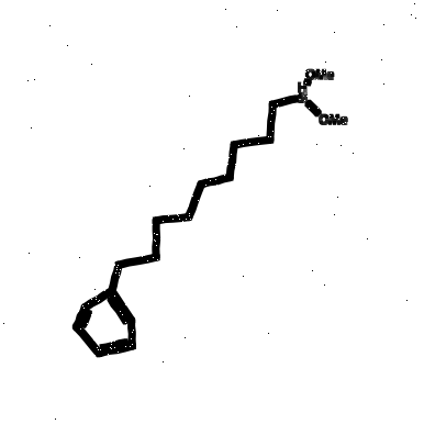 CO[SiH](CCCCCCCCCc1ccccc1)OC